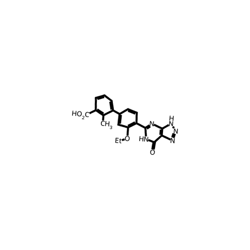 CCOc1cc(-c2cccc(C(=O)O)c2C)ccc1-c1nc2[nH]nnc2c(=O)[nH]1